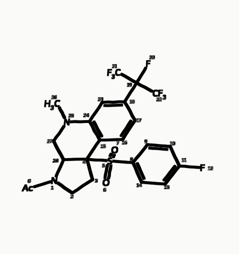 CC(=O)N1CCC2(S(=O)(=O)c3ccc(F)cc3)c3ccc(C(F)(C(F)(F)F)C(F)(F)F)cc3N(C)CC12